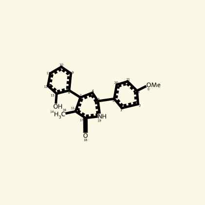 COc1ccc(-c2cc(-c3ccccc3O)c(C)c(=O)[nH]2)cc1